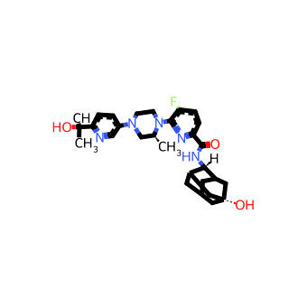 C[C@@H]1CN(c2ccc(C(C)(C)O)nc2)CCN1c1nc(C(=O)N[C@H]2C3CC4CC2C[C@](O)(C4)C3)ccc1F